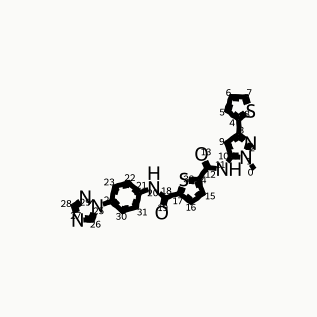 Cn1nc(-c2cccs2)cc1NC(=O)c1ccc(C(=O)Nc2ccc(-n3cncn3)cc2)s1